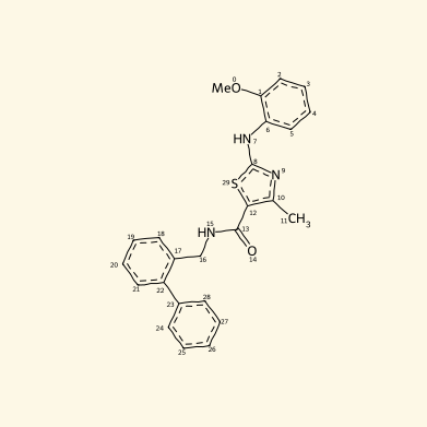 COc1ccccc1Nc1nc(C)c(C(=O)NCc2ccccc2-c2ccccc2)s1